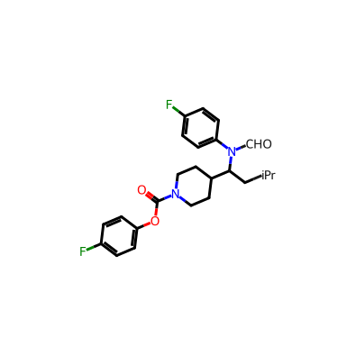 CC(C)CC(C1CCN(C(=O)Oc2ccc(F)cc2)CC1)N(C=O)c1ccc(F)cc1